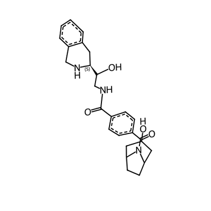 O=C(NCC(O)[C@@H]1Cc2ccccc2CN1)c1ccc(C(=O)N2C3CCC2CC(O)C3)cc1